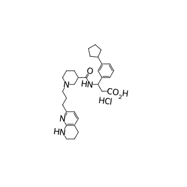 Cl.O=C(O)CC(NC(=O)C1CCCN(CCCc2ccc3c(n2)NCCC3)C1)c1cccc(C2CCCC2)c1